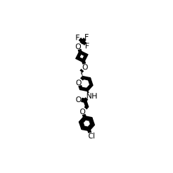 O=C(COc1ccc(Cl)cc1)N[C@@H]1CC[C@@H](COC2CC(OC(F)(F)F)C2)OC1